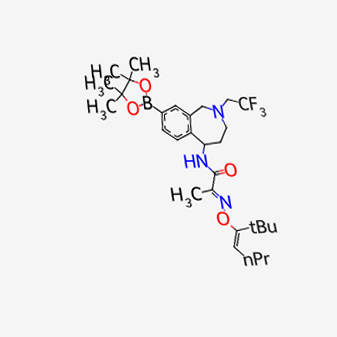 CCC/C=C(/O/N=C(\C)C(=O)NC1CCN(CC(F)(F)F)Cc2cc(B3OC(C)(C)C(C)(C)O3)ccc21)C(C)(C)C